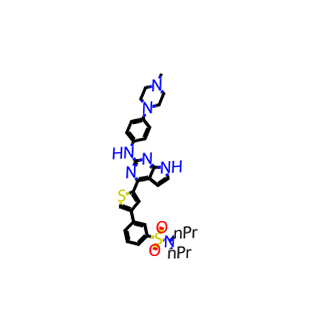 CCCN(CCC)S(=O)(=O)c1cccc(-c2csc(-c3nc(Nc4ccc(N5CCN(C)CC5)cc4)nc4[nH]ccc34)c2)c1